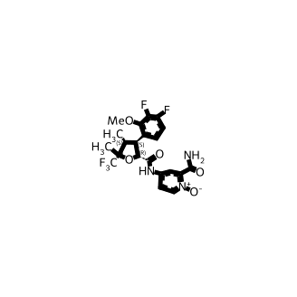 COc1c([C@H]2[C@H](C(=O)Nc3cc[n+]([O-])c(C(N)=O)c3)O[C@@](C)(C(F)(F)F)[C@H]2C)ccc(F)c1F